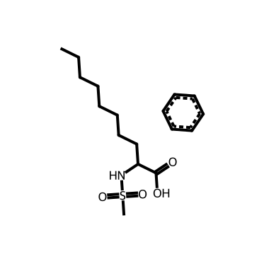 CCCCCCCCC(NS(C)(=O)=O)C(=O)O.c1ccccc1